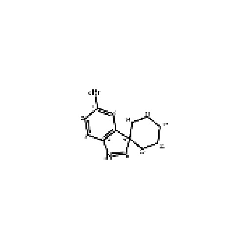 Brc1ccc2c(c1)C1(C=N2)CCCCC1